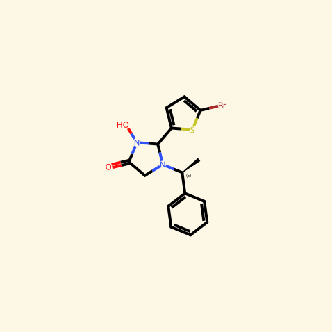 C[C@@H](c1ccccc1)N1CC(=O)N(O)C1c1ccc(Br)s1